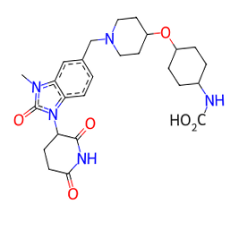 Cn1c(=O)n(C2CCC(=O)NC2=O)c2ccc(CN3CCC(OC4CCC(NC(=O)O)CC4)CC3)cc21